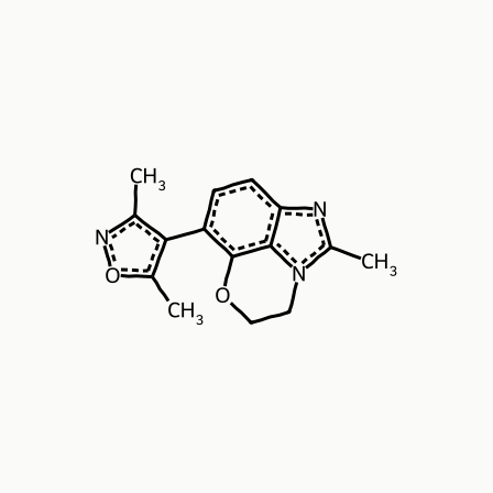 Cc1noc(C)c1-c1ccc2nc(C)n3c2c1OCC3